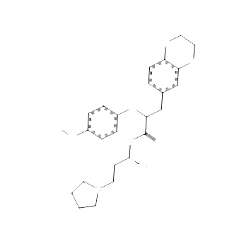 COc1ccc(OC(Cc2ccc3c(c2)OCCO3)C(=O)N[C@@H](O)CCN2CCCC2)cc1